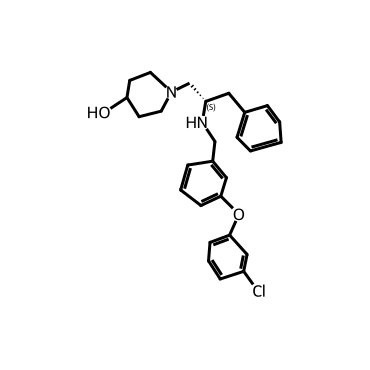 OC1CCN(C[C@H](Cc2ccccc2)NCc2cccc(Oc3cccc(Cl)c3)c2)CC1